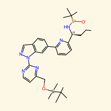 CCC[C@H](N[S+]([O-])C(C)(C)C)c1cccc(-c2ccc3cnn(-c4nccc(CO[Si](C)(C)C(C)(C)C)n4)c3c2)n1